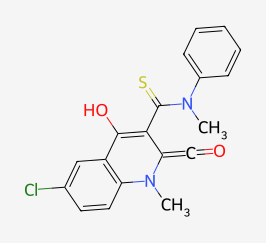 CN(C(=S)C1=C(O)c2cc(Cl)ccc2N(C)C1=C=O)c1ccccc1